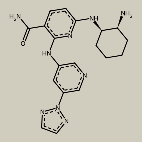 NC(=O)c1ccc(N[C@@H]2CCCC[C@@H]2N)nc1Nc1cncc(-n2nccn2)c1